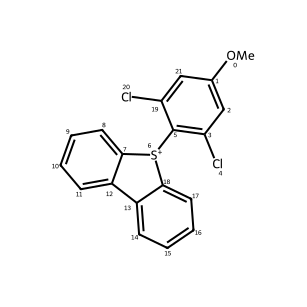 COc1cc(Cl)c(-[s+]2c3ccccc3c3ccccc32)c(Cl)c1